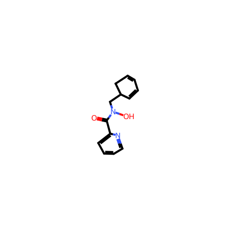 O=C(c1ccccn1)N(O)CC1C=CC=CC1